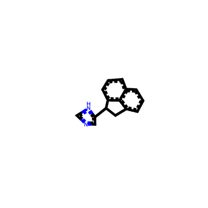 c1cc2c3c(cccc3c1)C(c1cnc[nH]1)C2